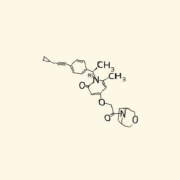 Cc1cc(OCC(=O)N2C3CCC2COC3)cc(=O)n1[C@H](C)c1ccc(C#CC2CC2)cc1